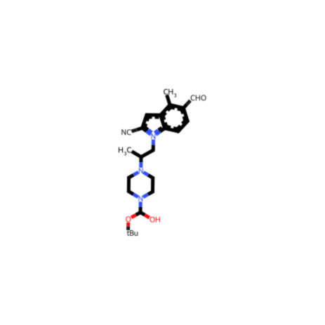 Cc1c(C=O)ccc2c1cc(C#N)n2CC(C)N1CCN(C(O)OC(C)(C)C)CC1